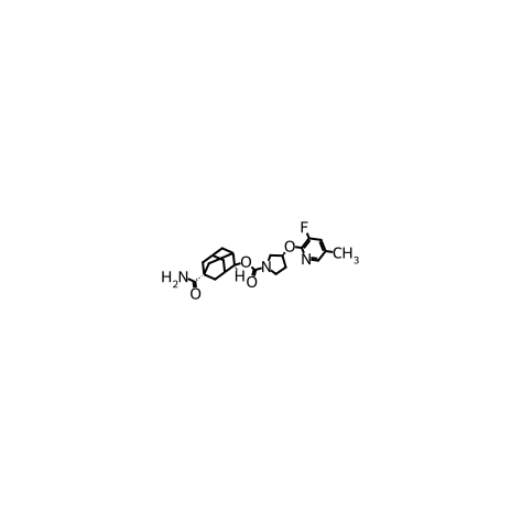 Cc1cnc(O[C@H]2CCN(C(=O)O[C@H]3C4CC5CC3C[C@](C(N)=O)(C5)C4)C2)c(F)c1